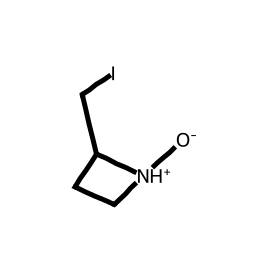 [O-][NH+]1CCC1CI